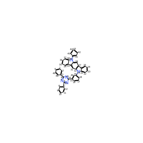 c1ccc(-c2nc(-c3ccccc3)nc(-c3cccc(-n4c5ccccc5c5cc6c(cc54)c4ccccc4n6-c4ccccc4)c3)n2)cc1